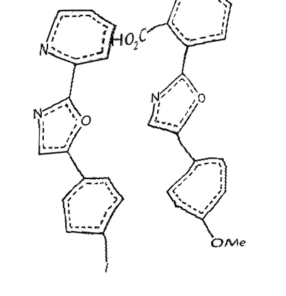 COc1ccc(-c2cnc(-c3ccccc3C(=O)O)o2)cc1.Ic1ccc(-c2cnc(-c3ccccn3)o2)cc1